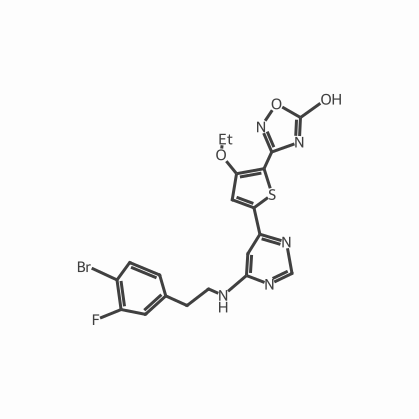 CCOc1cc(-c2cc(NCCc3ccc(Br)c(F)c3)ncn2)sc1-c1noc(O)n1